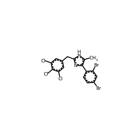 Cc1[nH]c(Cc2cc(Cl)c(Cl)c(Cl)c2)nc1-c1ccc(Br)cc1Br